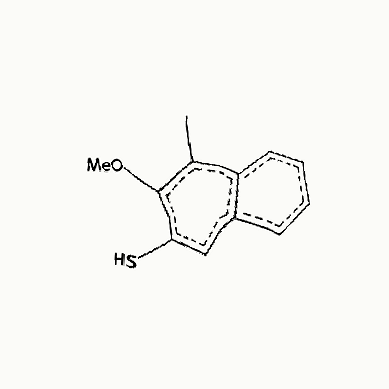 COc1c(S)cc2ccccc2c1C